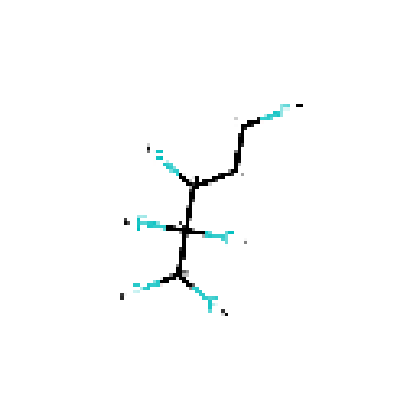 FCCC(F)C(F)(F)[C](F)F